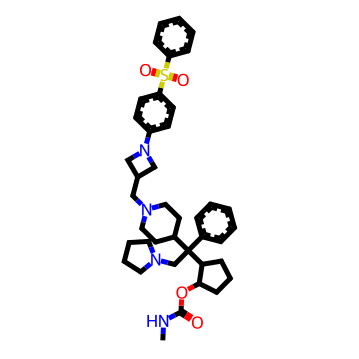 CNC(=O)OC1CCCC1C(CN1CCCC1)(c1ccccc1)C1CCN(CC2CN(c3ccc(S(=O)(=O)c4ccccc4)cc3)C2)CC1